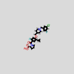 O=C(O)[C@@H]1CCCN1C(=O)c1cc(C2CC2)c(OCC2CCN(Cc3cc(F)cc(Cl)c3)CC2)cc1F